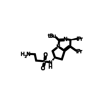 CC(C)C1=C2C[C@H](NS(=O)(=O)CCN)CN2C(C(C)(C)C)=N[C@H]1C(C)C